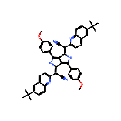 COc1ccc(-c2[nH]/c(=C(/C#N)c3ccc4cc(C(C)(C)C)ccc4n3)c3c(-c4ccc(OC)cc4)[nH]/c(=C(/C#N)c4ccc5cc(C(C)(C)C)ccc5n4)c23)cc1